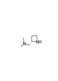 CN(C)C[C@@H]1CCN1